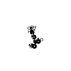 Cc1c(Cl)ccc2c(-c3cccc4nn(C)cc34)nn(-c3ccc(N4C[C@@H]5[C@H](C4)[C@@H]5C(=O)O)nc3)c12